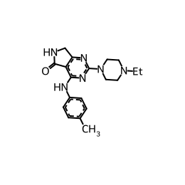 CCN1CCN(c2nc3c(c(Nc4ccc(C)cc4)n2)C(=O)NC3)CC1